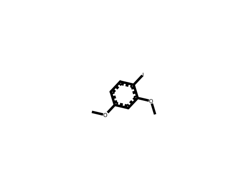 COc1c[c]c(I)c(OC)c1